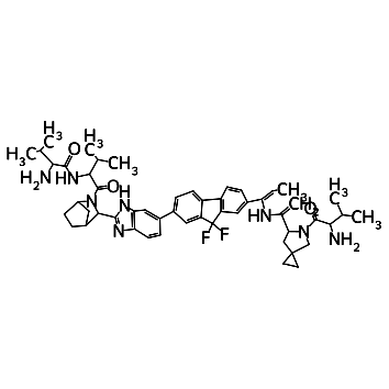 C=C(N/C(=C\C)c1ccc2c(c1)C(F)(F)c1cc(-c3ccc4nc(C5C6CCC(C6)N5C(=O)C(NC(=O)C(N)C(C)C)C(C)C)[nH]c4c3)ccc1-2)C1CC2(CC2)CN1C(=O)C(N)C(C)C